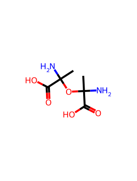 CC(N)(OC(C)(N)C(=O)O)C(=O)O